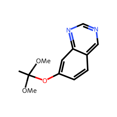 COC(C)(OC)Oc1ccc2cncnc2c1